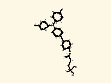 Cc1ccc(N(c2ccc(C)cc2)c2ccc(-c3ccc(OC(=O)CCC(C)(C)C)cc3)cc2)cc1